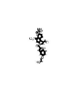 NS(=O)(=O)c1ccc2c3c(cc([N+](=O)[O-])c2c1)N(C(=O)c1cc2cc(OCCO)ccc2[nH]1)CC3CCl